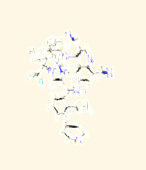 Cc1c(-c2ccncc2)cccc1C(Nc1cc(C#N)c2ncc(C#N)c(NCC(C)(C)C)c2c1)c1cn(C2(C(F)F)CC2)nn1